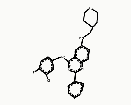 Fc1ccc(Nc2nc(-c3cccnc3)nc3ccc(NCC4CCOCC4)cc23)cc1Cl